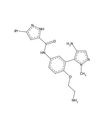 CC(C)c1cc(C(=O)Nc2ccc(OCCN)c(-c3c(N)cnn3C)c2)[nH]n1